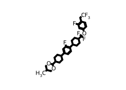 CC1COC(C2CCC(c3ccc(C4CCC(C(F)(F)Oc5ccc(CC(F)(F)F)c(F)c5)CC4)c(F)c3)CC2)OC1